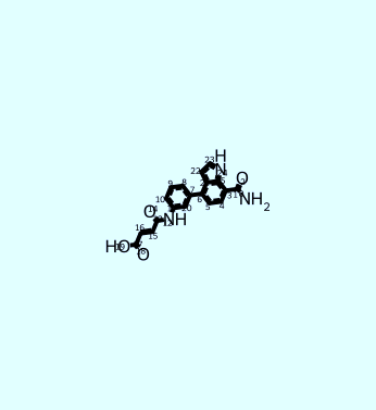 NC(=O)c1ccc(-c2cccc(NC(=O)/C=C/C(=O)O)c2)c2cc[nH]c12